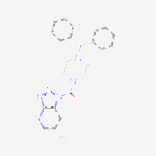 O=C(N1CCN(C(c2ccccc2)c2ccccc2)CC1)n1nnc2ncc(Cl)cc21